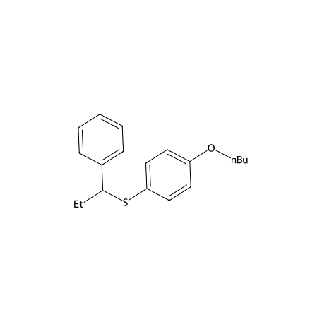 CCCCOc1ccc(SC(CC)c2ccccc2)cc1